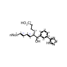 CCCCCCCCC/C=C/C=C/C(SCCC(=O)O)C(O)c1cccc(-c2nnn[nH]2)c1